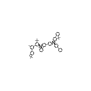 Cc1cc(-c2cc(-n3c4ccccc4c4cc(-c5ccc(N(c6ccc(-c7ccccc7)cc6)c6ccc7c(c6)C(C)(C)c6ccccc6-7)cc5)ccc43)cc(C(C)(C)C)c2)cc(-c2ccc3c(c2)CC3(C)C)c1